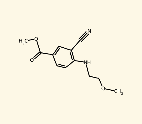 COCCNc1ccc(C(=O)OC)cc1C#N